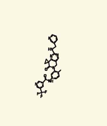 Cc1ccc(NC(=O)c2cncc(C(F)(F)F)c2)cc1N1Cc2cnc(NCc3cccnc3)nc2C2(CC2)C1=O